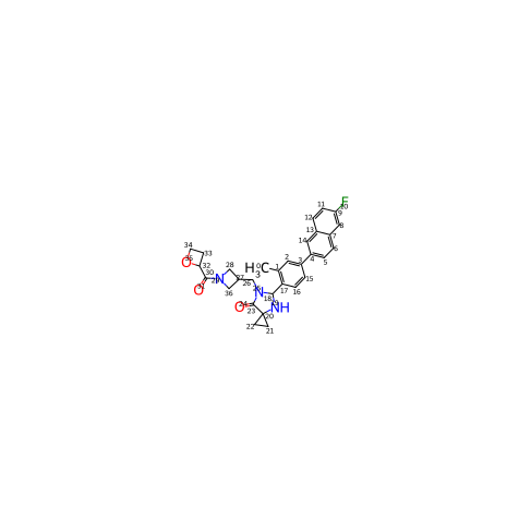 Cc1cc(-c2ccc3cc(F)ccc3c2)ccc1C1NC2(CC2)C(=O)N1CC1CN(C(=O)C2CCO2)C1